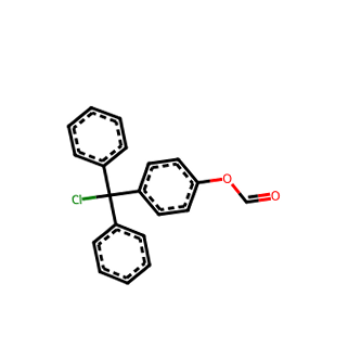 O=COc1ccc(C(Cl)(c2ccccc2)c2ccccc2)cc1